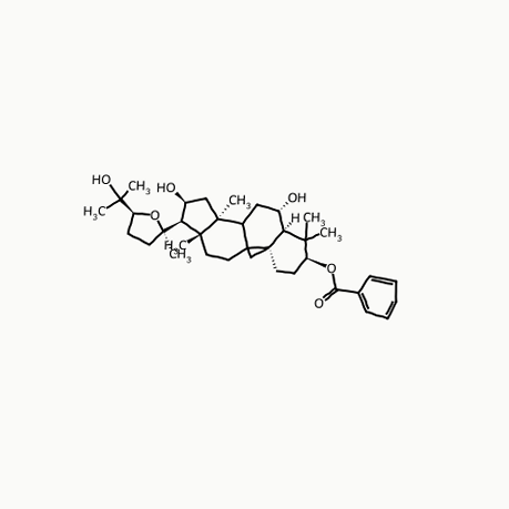 CC(C)(O)[C@@H]1CC[C@](C)([C@H]2[C@@H](O)C[C@@]3(C)C4C[C@H](O)[C@H]5C(C)(C)[C@@H](OC(=O)c6ccccc6)CC[C@@]56CC46CC[C@]23C)O1